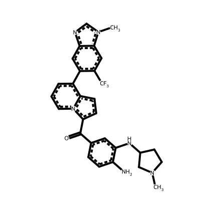 CN1CCC(Nc2cc(C(=O)c3ccc4c(-c5cc6ncn(C)c6cc5C(F)(F)F)cccn34)ccc2N)C1